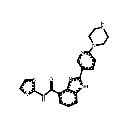 O=C(Nc1nccs1)c1cccc2[nH]c(-c3ccc(N4CCNCC4)nc3)nc12